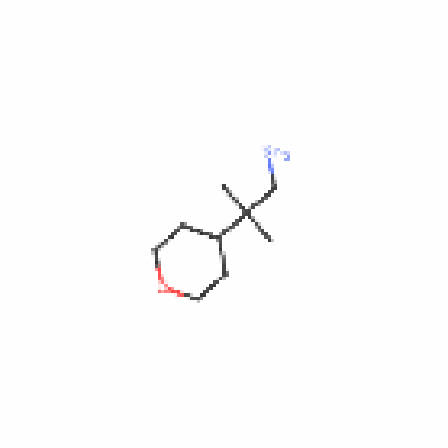 CC(C)(CN)C1CCOCC1